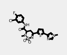 CN1C(C(=O)Nc2ccc(F)c(Cl)c2)CC(c2ccc(-c3cn(C)cn3)s2)=NS1(=O)=O